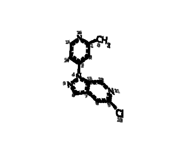 Cc1cc(-n2ncc3cc(Cl)ncc32)ccn1